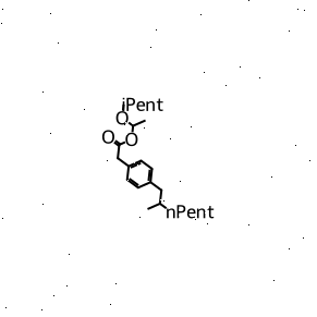 CCCCCC(C)Cc1ccc(CC(=O)OC(C)OC(C)CCC)cc1